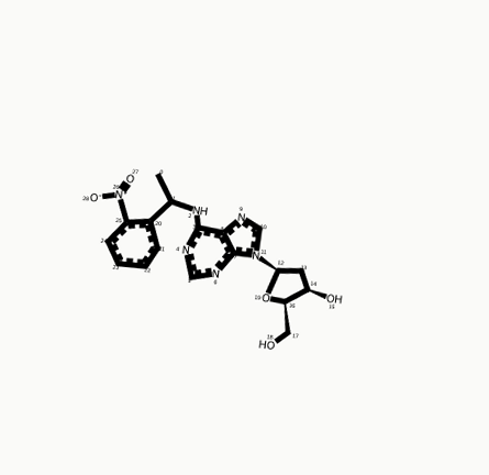 CC(Nc1ncnc2c1ncn2[C@H]1C[C@@H](O)[C@@H](CO)O1)c1ccccc1[N+](=O)[O-]